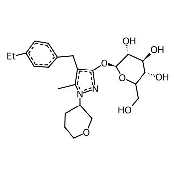 CCc1ccc(Cc2c(O[C@@H]3OC(CO)[C@@H](O)[C@H](O)[C@H]3O)nn(C3CCCOC3)c2C)cc1